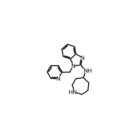 c1ccc(Cn2c(NC3CCCNCC3)nc3ccccc32)nc1